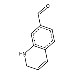 O=Cc1ccc2c(c1)NCC=C2